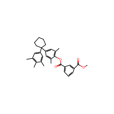 COC(=O)c1cccc(C(=O)Oc2c(C)cc(C3(c4cc(C)c(C)c(C)c4)CCCCC3)cc2C)c1